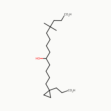 CC(C)(CCCCC(O)CCCCC1(CCC(=O)O)CC1)CCC(=O)O